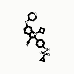 N#Cc1c(-c2ccc(NS(=O)(=O)C3CC3)cc2)n(C2CCC2)c2cc(OC3CCOCC3)ccc12